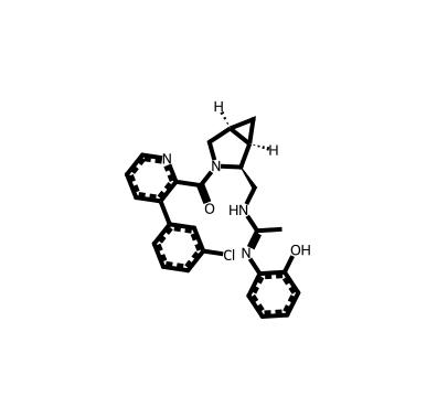 C/C(=N\c1ccccc1O)NC[C@@H]1[C@@H]2C[C@@H]2CN1C(=O)c1ncccc1-c1cccc(Cl)c1